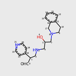 O=CC(CNCC(O)CN1CCc2ccccc2C1)c1ccncc1